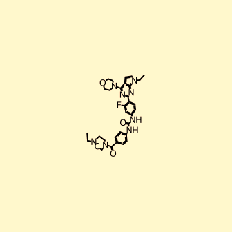 CCN1CCN(C(=O)c2ccc(NC(=O)Nc3ccc(-c4nc(N5CCOCC5)c5ccn(CC)c5n4)c(F)c3)cc2)CC1